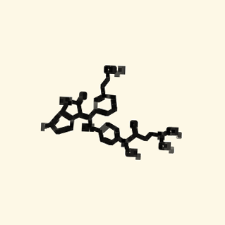 CN(C)CCC(=O)N(C)c1ccc(NC(=C2C(=O)Nc3cc(F)ccc32)c2cccc(CCC(=O)O)c2)cc1